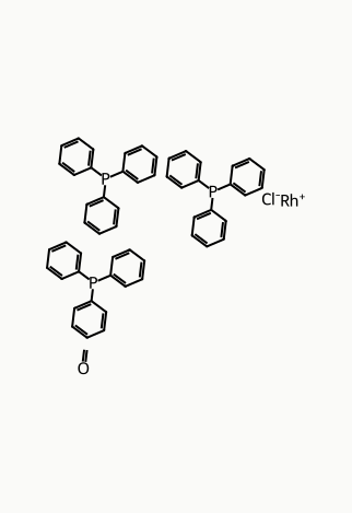 C=O.[Cl-].[Rh+].c1ccc(P(c2ccccc2)c2ccccc2)cc1.c1ccc(P(c2ccccc2)c2ccccc2)cc1.c1ccc(P(c2ccccc2)c2ccccc2)cc1